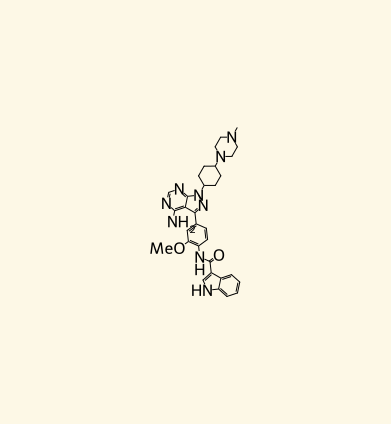 COc1cc(-c2nn(C3CCC(N4CCN(C)CC4)CC3)c3ncnc(N)c23)ccc1NC(=O)c1c[nH]c2ccccc12